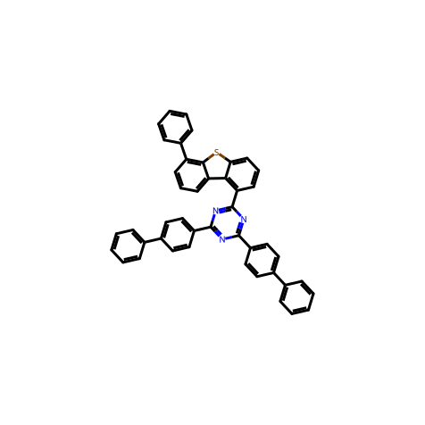 c1ccc(-c2ccc(-c3nc(-c4ccc(-c5ccccc5)cc4)nc(-c4cccc5sc6c(-c7ccccc7)cccc6c45)n3)cc2)cc1